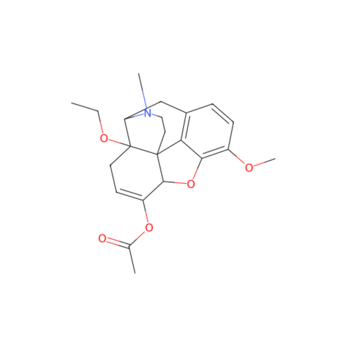 CCOC12CC=C(OC(C)=O)C3Oc4c(OC)ccc5c4C31CCN(C)C2C5